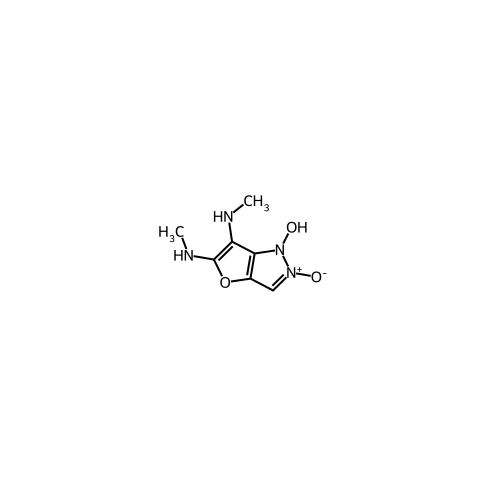 CNc1oc2c[n+]([O-])n(O)c2c1NC